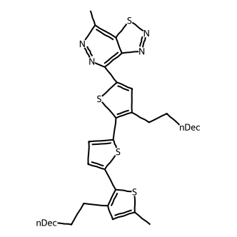 CCCCCCCCCCCCc1cc(C)sc1-c1ccc(-c2sc(-c3nnc(C)c4snnc34)cc2CCCCCCCCCCCC)s1